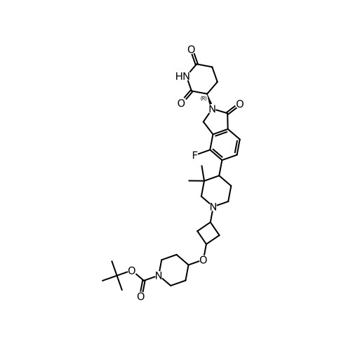 CC(C)(C)OC(=O)N1CCC(OC2CC(N3CCC(c4ccc5c(c4F)CN([C@@H]4CCC(=O)NC4=O)C5=O)C(C)(C)C3)C2)CC1